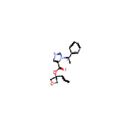 C=C=CC1(OC(=O)c2cncn2[C@H](C)c2ccccc2)COC1